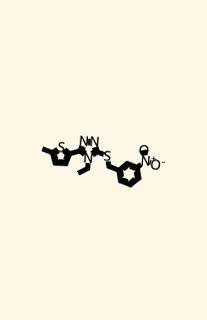 CCn1c(SCc2cccc([N+](=O)[O-])c2)nnc1-c1ccc(C)s1